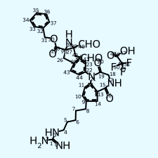 N=C(N)NCCCCCc1ccc2c(c1)C(=O)NCC(=O)N2c1ccc(C[C@@]2(C(=O)OCc3ccccc3)NC2(C=O)CC=O)cc1.O=C(O)C(F)(F)F